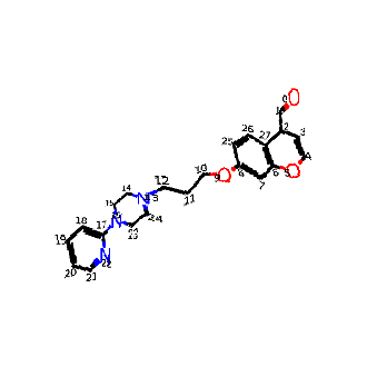 O=CC1C=COc2cc(OCCCN3CCN(c4ccccn4)CC3)ccc21